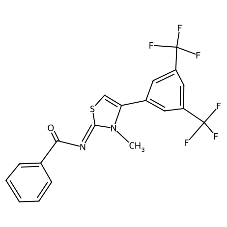 Cn1c(-c2cc(C(F)(F)F)cc(C(F)(F)F)c2)cs/c1=N\C(=O)c1ccccc1